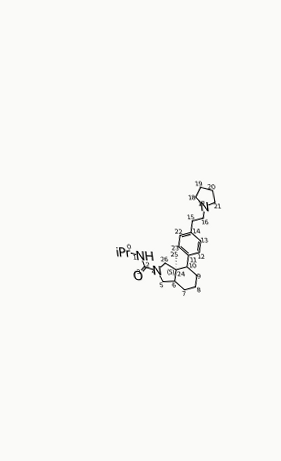 CC(C)NC(=O)N1CC2CCCC(c3ccc(CCN4CCCC4)cc3)[C@]2(C)C1